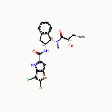 CSC[C@H](O)C(=O)N(C)[C@H]1c2ccccc2C[C@H]1NC(=O)c1cc2sc(Cl)c(Cl)c2[nH]1